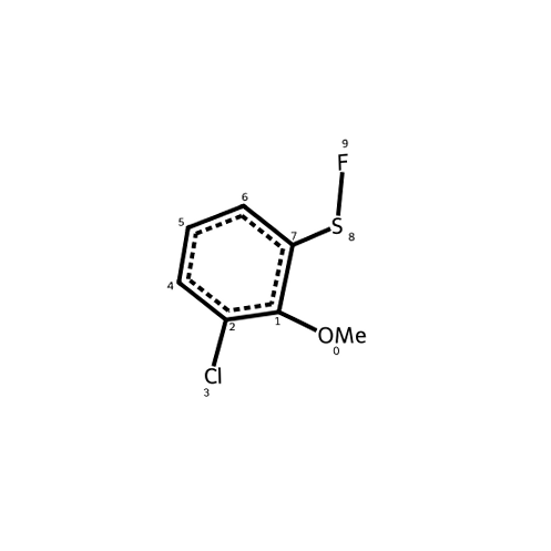 COc1c(Cl)cccc1SF